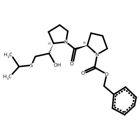 CC(C)SCC(O)[C@@H]1CCCN1C(=O)[C@H]1CCCN1C(=O)OCc1ccccc1